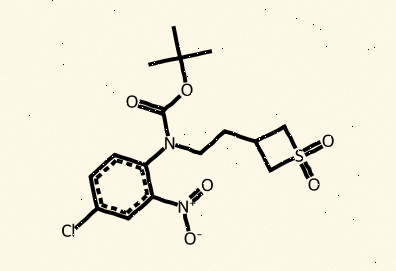 CC(C)(C)OC(=O)N(CCC1CS(=O)(=O)C1)c1ccc(Cl)cc1[N+](=O)[O-]